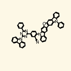 N#Cc1cc(-c2nc(-c3ccccc3)nc(-n3c4ccccc4c4ccccc43)n2)ccc1-n1c2ccccc2c2cc3c(cc21)oc1cc2c4ccccc4n(-c4ccccc4)c2cc13